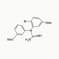 CSc1cccc(N(C(=N)N)c2cc(SC)ccc2Br)c1